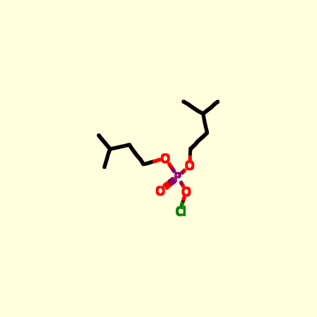 CC(C)CCOP(=O)(OCl)OCCC(C)C